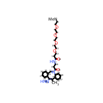 CNCCOCCOCCOCCOCCC(=O)NCCC(=O)N1Cc2ccccc2/C(N=N)=C(/C)c2ccccc21